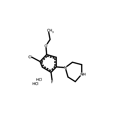 CCOc1cc(N2CCNCC2)c(F)cc1Cl.Cl.Cl